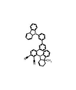 CC12CCC=CC1N(c1c(-c3cccc(-c4cccc(N5c6ccccc6C6C=CC=CC65)c4)c3)ccc(C#N)c1C#N)c1ccccc12